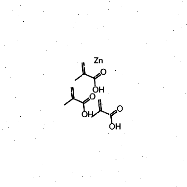 C=C(C)C(=O)O.C=C(C)C(=O)O.C=C(C)C(=O)O.[Zn]